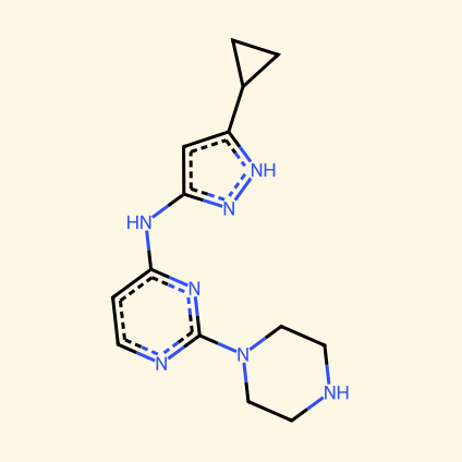 c1cc(Nc2cc(C3CC3)[nH]n2)nc(N2CCNCC2)n1